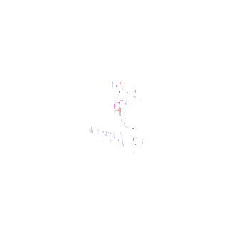 CC(C)c1nc(-c2cccc3c2nc(O[C@@H]2C[C@H]4C(=O)N[C@]5(C(=O)NS(=O)(=O)N(C)C)C[C@H]5/C=C\CCCCC[C@H](Nc5ccccc5)C(=O)N4C2)n3C(C)C)sc1C(C)C